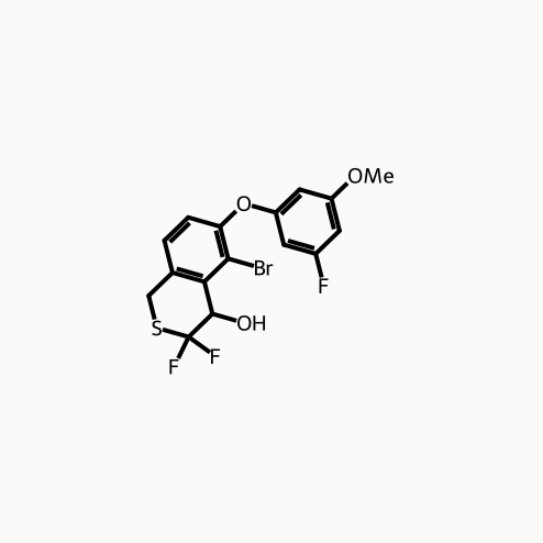 COc1cc(F)cc(Oc2ccc3c(c2Br)C(O)C(F)(F)SC3)c1